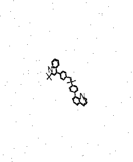 CC(C)(C)c1cc(-c2ccc(CC(C)(C)c3ccc(-c4cccc5cccnc45)cc3)cc2)c2ccccc2n1